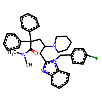 CN(C)C(=O)C(CC(Cc1nc2ccccc2n1Cc1ccc(F)cc1)N1CCCCC1)(c1ccccc1)c1ccccc1